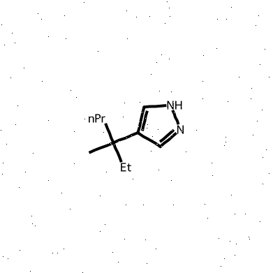 CCCC(C)(CC)c1cn[nH]c1